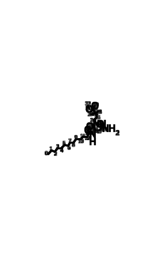 CCCCCCCCCCCCCC(=O)N[C@H](CC(N)=O)C(=O)NCCC(C)(C)C(=O)OC